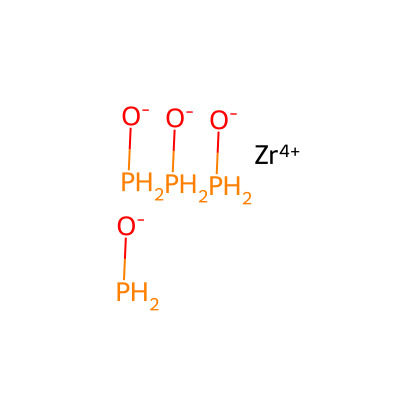 [O-]P.[O-]P.[O-]P.[O-]P.[Zr+4]